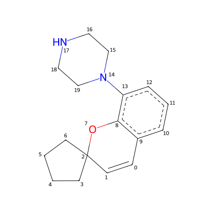 C1=CC2(CCCC2)Oc2c1cccc2N1CCNCC1